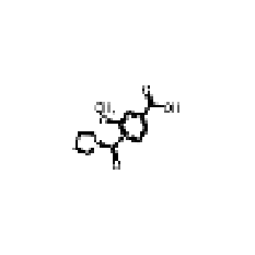 COc1cc(C(=O)O)ccc1C(=O)N1CCCC1